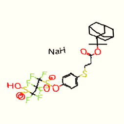 CC(C)(OC(=O)CCSc1ccc(OS(=O)(=O)C(F)(F)C(F)(F)C(F)(F)S(=O)(=O)O)cc1)C12CC3CC(CC(C3)C1)C2.[NaH]